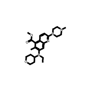 CCN(c1cc2nc(N3CCN(C)CC3)ccc2c(C(=O)OC)c1C)C1CCOCC1